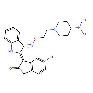 CN(C)C1CCN(CCO/N=C2/C(=C3/C(=O)Cc4ccc(Br)cc43)Nc3ccccc32)CC1